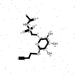 C#CCCO[C@H]1O[C@H](CCS(=O)(=O)NC(C)=O)[C@@H](O)[C@H](O)[C@@H]1O